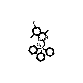 Cc1nc(CP(Cl)(c2ccccc2)(c2ccccc2)c2ccccc2)nc2c(C)cc(F)cc12